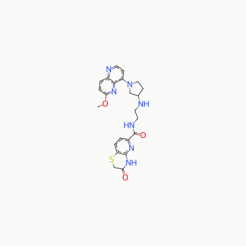 COc1ccc2nccc(N3CCC(NCCNC(=O)c4ccc5c(n4)NC(=O)CS5)C3)c2n1